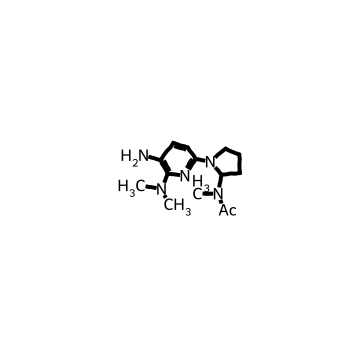 CC(=O)N(C)C1CCCN1c1ccc(N)c(N(C)C)n1